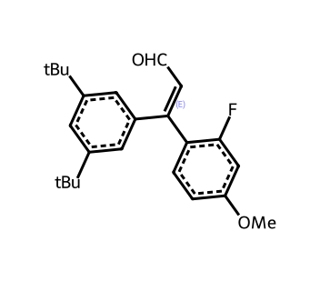 COc1ccc(/C(=C/C=O)c2cc(C(C)(C)C)cc(C(C)(C)C)c2)c(F)c1